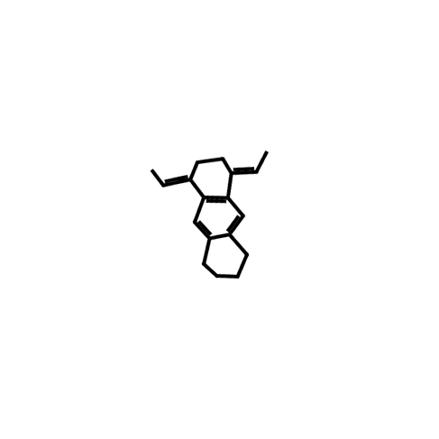 CC=C1CCC(=CC)c2cc3c(cc21)CCCC3